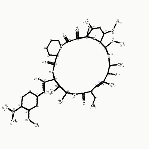 CCC1/C=C(\C)C(F)C(C)CC(OC)C2OC(O)(C(=O)C(=O)N3CCCCC3C(=O)OC(C(C)=CC3CCC(N(C)C)C(OC)C3)C(C)C(O)CC1=O)C(C)CC2OC